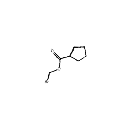 O=C(OCBr)C1CCCC1